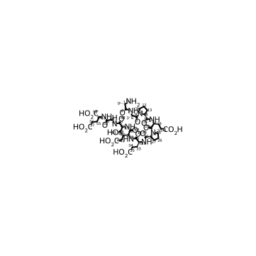 C[C@H](N)C(=O)N[C@@H](C)C(=O)N1CCC[C@H]1C(=O)N[C@@H](CCC(=O)O)C(=O)N1CCC[C@H]1C(=O)N[C@@H](CCC(=O)O)C(=O)N[C@@H](CCC(=O)O)C(=O)N[C@H](C(=O)NCC(=O)N[C@@H](CCC(=O)O)C(=O)O)[C@@H](C)O